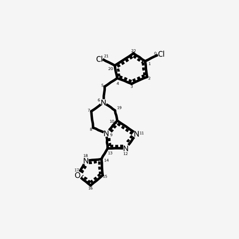 Clc1ccc(CN2CCn3c(nnc3-c3ccon3)C2)c(Cl)c1